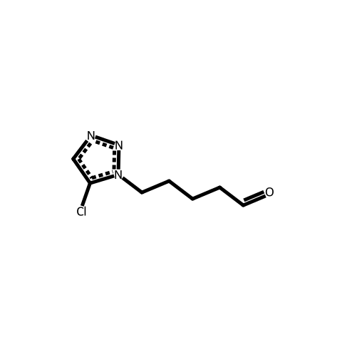 O=CCCCCn1nncc1Cl